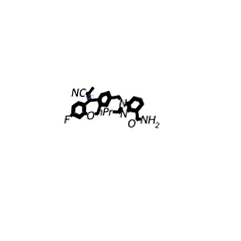 CCCc1nc2c(C(N)=O)cccc2n1Cc1ccc2c(c1)COc1cc(F)ccc1/C2=C(/C)C#N